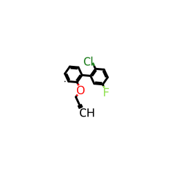 C#CCOc1[c]cccc1-c1cc(F)ccc1Cl